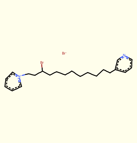 BrC(CCCCCCCCCc1cccnc1)CC[n+]1ccccc1.[Br-]